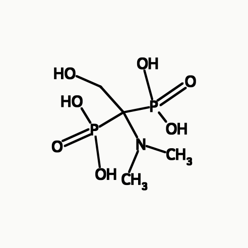 CN(C)C(CO)(P(=O)(O)O)P(=O)(O)O